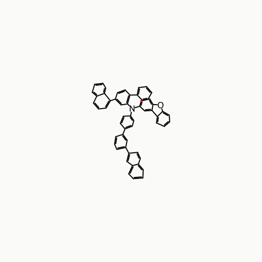 c1ccc(-c2ccc(-c3cccc4ccccc34)cc2N(c2ccc(-c3cccc(-c4ccc5ccccc5c4)c3)cc2)c2ccc3oc4ccccc4c3c2)cc1